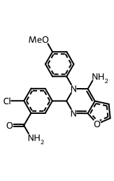 COc1ccc(N2C(N)=c3ccoc3=NC2c2ccc(Cl)c(C(N)=O)c2)cc1